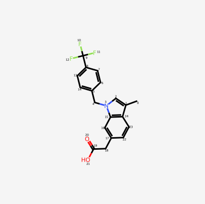 Cc1cn(Cc2ccc(C(F)(F)F)cc2)c2cc(CC(=O)O)ccc12